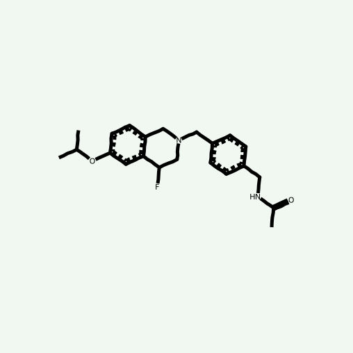 CC(=O)NCc1ccc(CN2Cc3ccc(OC(C)C)cc3C(F)C2)cc1